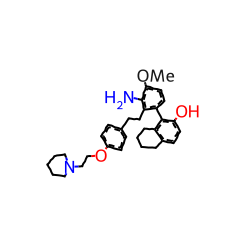 COc1ccc(-c2c(O)ccc3c2CCCC3)c(CCc2ccc(OCCN3CCCCC3)cc2)c1N